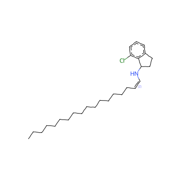 CCCCCCCCCCCCCCCC/C=C\NC1CCc2cccc(Cl)c21